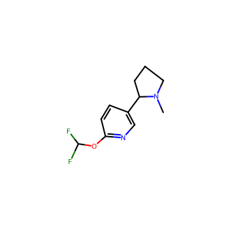 CN1CCCC1c1ccc(OC(F)F)nc1